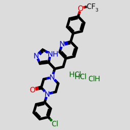 Cl.Cl.Cl.O=C1CN(C(Cc2ccc(-c3ccc(OC(F)(F)F)cc3)nc2)c2cnc[nH]2)CCN1c1cccc(Cl)c1